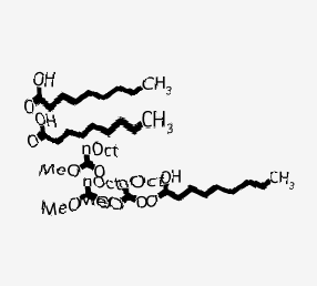 CCCCCCCCC(=O)O.CCCCCCCCC(=O)O.CCCCCCCCC(=O)O.CCCCCCCCC(=O)OC.CCCCCCCCC(=O)OC.CCCCCCCCC(=O)OC